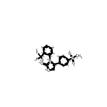 CS(=O)(=O)c1ccc(-c2coc(=O)n2-c2ccccc2C(F)(F)F)cc1